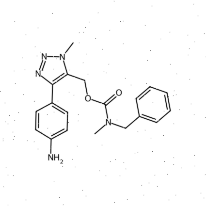 CN(Cc1ccccc1)C(=O)OCc1c(-c2ccc(N)cc2)nnn1C